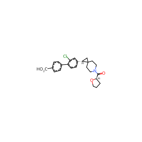 O=C(O)c1ccc(-c2ccc([C@@H]3CC34CCN(C(=O)[C@H]3CCCO3)CC4)cc2Cl)cc1